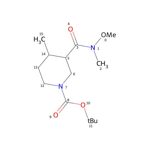 CON(C)C(=O)C1CN(C(=O)OC(C)(C)C)CCC1C